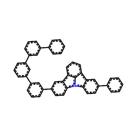 c1ccc(-c2cccc(-c3cccc(-c4cccc(-c5ccc6c(c5)c5cccc7c8cc(-c9ccccc9)ccc8n6c75)c4)c3)c2)cc1